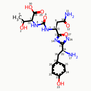 CC(O)[C@H](NC(=O)N[C@@H](CC(N)=O)c1nc([C@@H](N)Cc2ccc(O)cc2)no1)C(=O)O